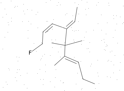 C/C=C(\C=C/CF)C(C)(C)/C(C)=C/CC